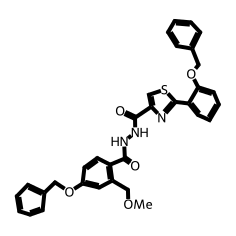 COCc1cc(OCc2ccccc2)ccc1C(=O)NNC(=O)c1csc(-c2ccccc2OCc2ccccc2)n1